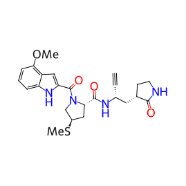 C#C[C@H](C[C@@H]1CCNC1=O)NC(=O)[C@@H]1C[C@@H](SC)CN1C(=O)c1cc2c(OC)cccc2[nH]1